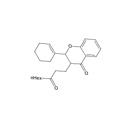 CCCCCCC(=O)CCC1C(=O)c2ccccc2OC1C1=CCCCC1